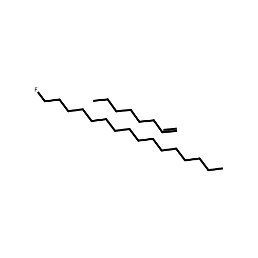 C=CCCCCCC.CCCCCCCCCCCCCCCCF